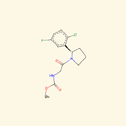 CC(C)(C)OC(=O)NCC(=O)N1CCC[C@@H]1c1cc(F)ccc1Cl